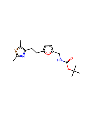 Cc1nc(CCc2ccc(CNC(=O)OC(C)(C)C)o2)c(C)s1